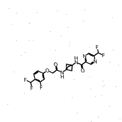 O=C(COc1ccc(C(F)F)c(F)c1)NC12CC(NC(=O)c3cnc(C(F)F)cn3)(C1)C2